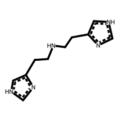 c1nc(CCNCCc2c[nH]cn2)c[nH]1